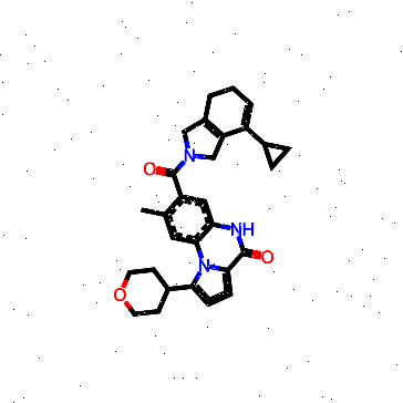 Cc1cc2c(cc1C(=O)N1CC3=C(C1)C(C1CC1)=CCC3)NC(=O)C1=C=C=C(C3CCOCC3)N12